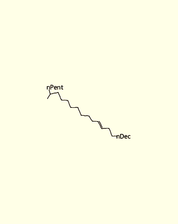 [CH2]CCCCCCCCCCCC=CCCCCCCCCC(C)CCCC[CH2]